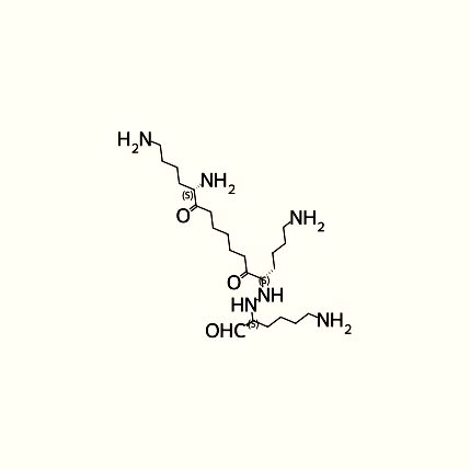 NCCCC[C@@H](C=O)NN[C@@H](CCCCN)C(=O)CCCCCC(=O)[C@@H](N)CCCCN